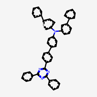 c1ccc(-c2ccc(N(c3ccc(-c4ccc(-c5nc(-c6ccccc6)nc(-c6ccccc6)n5)cc4)cc3)c3cccc(-c4ccccc4)c3)cc2)cc1